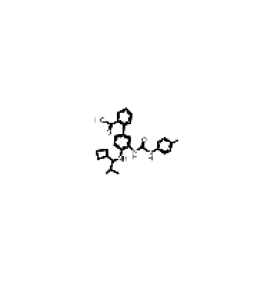 Cc1ccc(NC(=O)Nc2cc(-c3ccccc3C(=O)O)ccc2NC(C(C)C)C2CCC2)cc1